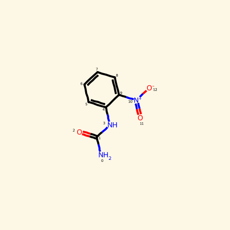 NC(=O)Nc1ccccc1[N+](=O)[O-]